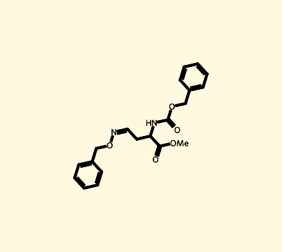 COC(=O)C(C/C=N\OCc1ccccc1)NC(=O)OCc1ccccc1